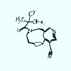 CC(C)(Cl)C(=O)N1CCOc2c(C#N)cncc2C1